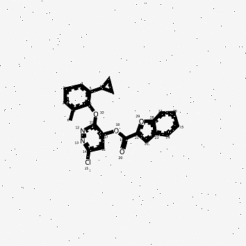 Cc1cccc(C2CC2)c1Oc1nnc(Cl)cc1OC(=O)c1cc2ccccc2o1